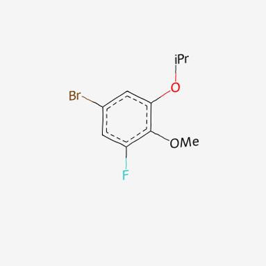 COc1c(F)cc(Br)cc1OC(C)C